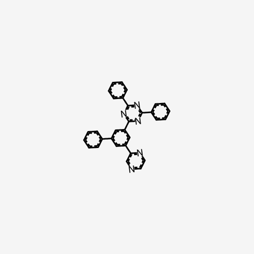 c1ccc(-c2cc(-c3cnccn3)cc(-c3nc(-c4ccccc4)nc(-c4ccccc4)n3)c2)cc1